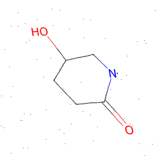 O=C1CCC(O)C[N]1